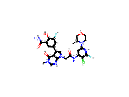 C[C@H]1COCCN1c1cc(NC(=O)Cn2cc(-c3cc(F)c(O)c(C(N)=O)c3)c3c(=O)n(C)cnc32)c(Cl)c(F)n1